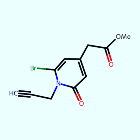 C#CCn1c(Br)cc(CC(=O)OC)cc1=O